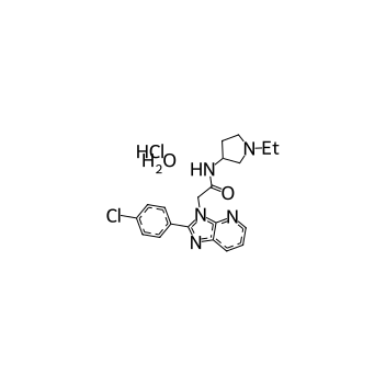 CCN1CCC(NC(=O)Cn2c(-c3ccc(Cl)cc3)nc3cccnc32)C1.Cl.O